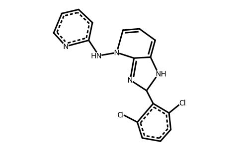 Clc1cccc(Cl)c1C1N=C2C(=CC=CN2Nc2ccccn2)N1